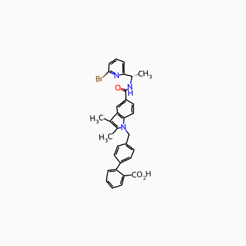 Cc1c(C)n(Cc2ccc(-c3ccccc3C(=O)O)cc2)c2ccc(C(=O)N[C@@H](C)c3cccc(Br)n3)cc12